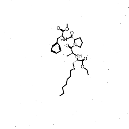 CCCCCCCSC[C@H](N[C@@H](C)C(=O)N1CCC[C@H]1C(=O)N[C@@H](Cc1ccccc1)C(=O)OC)C(=O)OCC